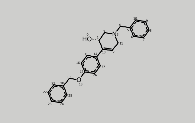 O[C@@H]1CN(Cc2ccccc2)CC=C1c1ccc(OCc2ccccc2)cc1